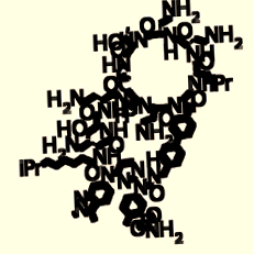 Cc1ccc(N(C(=O)NCc2ccc(-c3ccc(C[C@H]4NC(=O)C(CCN)NC(=O)[C@@H](NC(=O)[C@H](CCN)NC(=O)[C@@H](NC(=O)[C@@H](CCN)NC(=O)CCCCCC(C)C)[C@@H](C)O)CCNC(=O)[C@H]([C@@H](C)O)NC(=O)[C@H](CCN)NC(=O)[C@H](CCN)NC(=O)C(CC(C)C)NC4=O)cc3)cc2)c2nccc(N(C)c3ccc4c(C)n(C)nc4c3)n2)cc1S(N)(=O)=O